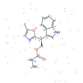 Cc1cnc([C@H](COC(=O)NC(C)(C)C)c2c[nH]c3ccccc23)o1